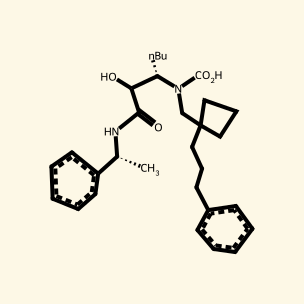 CCCC[C@@H](C(O)C(=O)N[C@H](C)c1ccccc1)N(CC1(CCCc2ccccc2)CCC1)C(=O)O